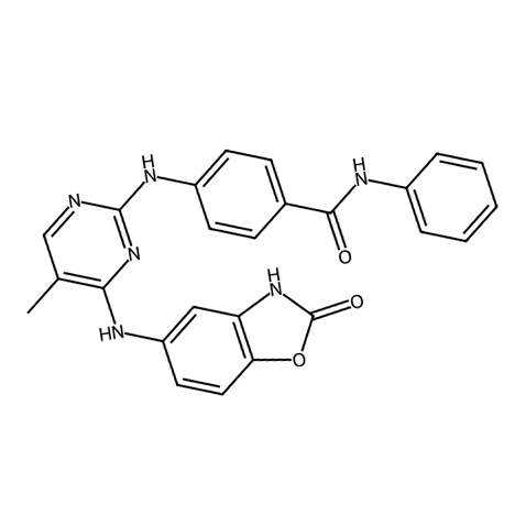 Cc1cnc(Nc2ccc(C(=O)Nc3ccccc3)cc2)nc1Nc1ccc2oc(=O)[nH]c2c1